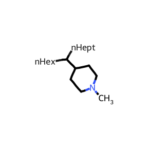 CCCCCCCC(CCCCCC)C1CCN(C)CC1